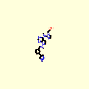 CN(c1ncnc2c1ccn2N(C)Cc1cccc(-c2cnn(C)c2)c1)c1nccn1CCO